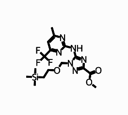 COC(=O)c1nc(Nc2nc(C)cc(C(F)(F)F)n2)n(COCC[Si](C)(C)C)n1